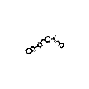 O=C(OCC1CCCO1)N1CCC(Cc2noc(-c3cc4cnccc4o3)n2)CC1